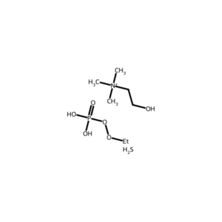 CCOOP(=O)(O)O.C[N+](C)(C)CCO.S